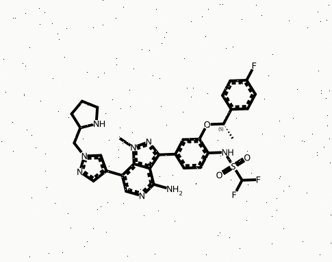 C[C@H](Oc1cc(-c2nn(C)c3c(-c4cnn(CC5CCCN5)c4)cnc(N)c23)ccc1NS(=O)(=O)C(F)F)c1ccc(F)cc1